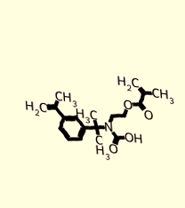 C=C(C)C(=O)OCCN(C(=O)O)C(C)(C)c1cccc(C(=C)C)c1